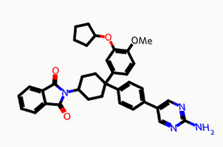 COc1ccc(C2(c3ccc(-c4cnc(N)nc4)cc3)CCC(N3C(=O)c4ccccc4C3=O)CC2)cc1OC1CCCC1